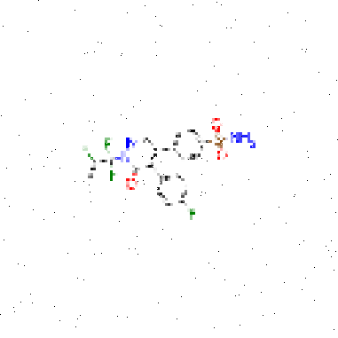 C=C(F)C(F)(F)n1ncc(-c2ccc(S(N)(=O)=O)cc2)c(-c2ccc(F)cc2)c1=O